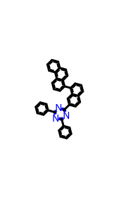 c1ccc(-c2nc(-c3ccccc3)nc(-c3ccc4cccc(-c5cccc6c5ccc5ccccc56)c4c3)n2)cc1